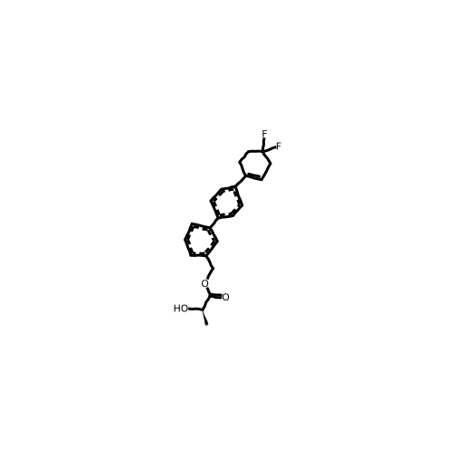 C[C@@H](O)C(=O)OCc1cccc(-c2ccc(C3=CCC(F)(F)CC3)cc2)c1